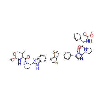 COC(=O)NC(C(=O)N1CCCC1c1ncc(-c2ccc(-c3csc4c(-c5ccc6nc(C7CCCN7C(=O)[C@@H](NC(=O)OC)C(C)C)[nH]c6c5)csc34)cc2)[nH]1)c1ccccc1